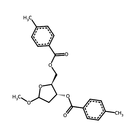 COC1C[C@@H](OC(=O)c2ccc(C)cc2)[C@H](COC(=O)c2ccc(C)cc2)O1